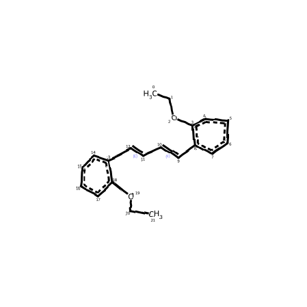 CCOc1ccccc1/C=C/C=C/c1ccccc1OCC